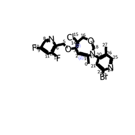 C/C1=C/C(OCc2ncc(F)cc2F)=C(/Cl)COCN1c1cc(Br)ncc1C